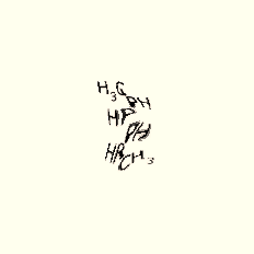 CPPPPC